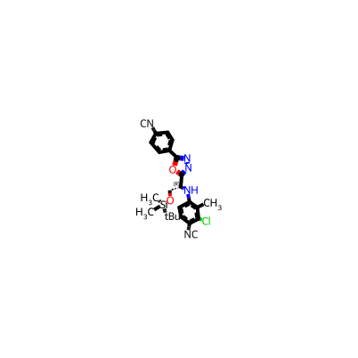 [C-]#[N+]c1ccc(-c2nnc([C@@H](CO[Si](C)(C)C(C)(C)C)Nc3ccc([N+]#[C-])c(Cl)c3C)o2)cc1